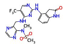 CN(c1nccnc1CNc1nc(Nc2cccc3c2CC(=O)N3)ncc1C(F)(F)F)S(C)(=O)=O